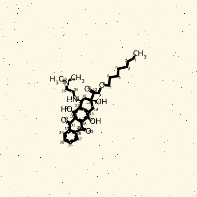 CCCCCCCCOCC(=O)[C@]1(O)Cc2c(O)c3c(c(O)c2[C@@H](NCCN(C)C)C1)C(=O)c1ccccc1C3=O